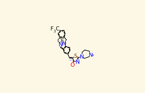 CN1CCCN(C2=NC(=O)/C(=C/c3ccc4c(cnn4Cc4ccc(C(F)(F)F)cc4C(F)(F)F)c3)S2)CC1